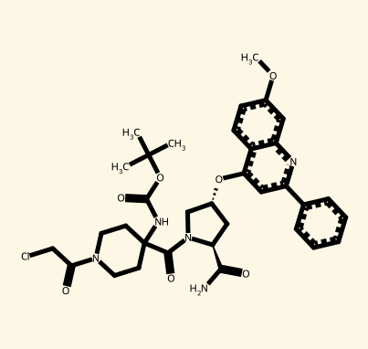 COc1ccc2c(O[C@@H]3C[C@@H](C(N)=O)N(C(=O)C4(NC(=O)OC(C)(C)C)CCN(C(=O)CCl)CC4)C3)cc(-c3ccccc3)nc2c1